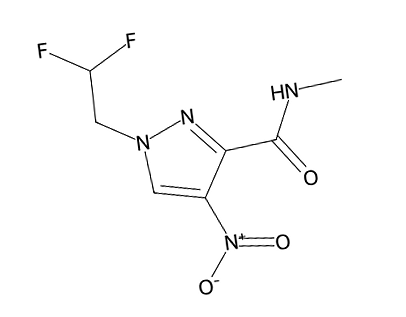 CNC(=O)c1nn(CC(F)F)cc1[N+](=O)[O-]